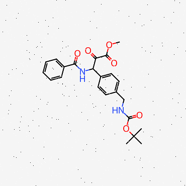 COC(=O)C(=O)C(NC(=O)c1ccccc1)c1ccc(CNC(=O)OC(C)(C)C)cc1